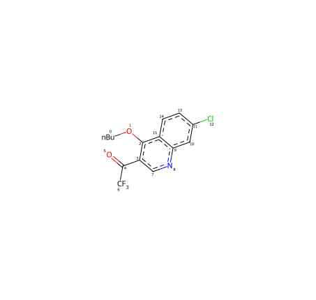 CCCCOc1c(C(=O)C(F)(F)F)cnc2cc(Cl)ccc12